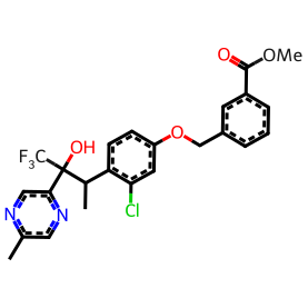 COC(=O)c1cccc(COc2ccc(C(C)C(O)(c3cnc(C)cn3)C(F)(F)F)c(Cl)c2)c1